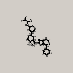 CC(C)C(=O)Nc1cncc(-c2ccc3[nH]nc(-c4nc5c(-c6ccccn6)nccc5[nH]4)c3c2)c1